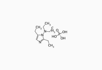 CCc1cnc(CC)n1N(CC)CC.O=P(O)(O)O